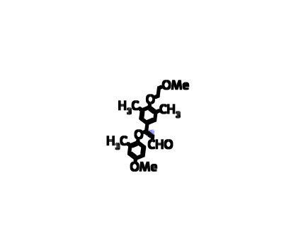 COCCOc1c(C)cc(/C(=C/C=O)Oc2ccc(OC)cc2C)cc1C